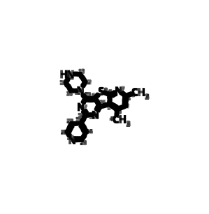 Cc1cc(C)c2c(n1)sc1c(N3CCNCC3)nc(-c3ccncc3)nc12